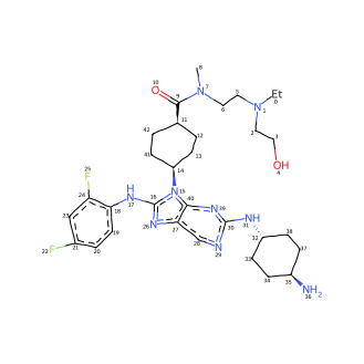 CCN(CCO)CCN(C)C(=O)[C@H]1CC[C@@H](n2c(Nc3ccc(F)cc3F)nc3cnc(N[C@H]4CC[C@H](N)CC4)nc32)CC1